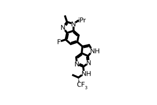 Cc1nc2c(F)cc(-c3c[nH]c4nc(N[C@@H](C)C(F)(F)F)ncc34)cc2n1C(C)C